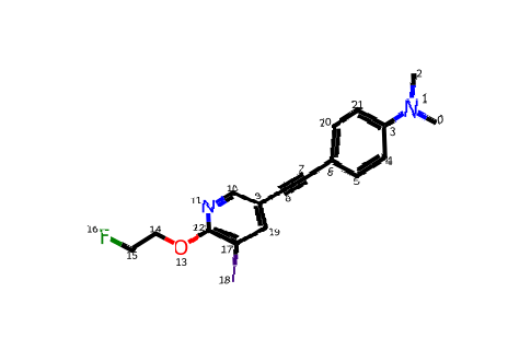 CN(C)c1ccc(C#Cc2cnc(OCCF)c(I)c2)cc1